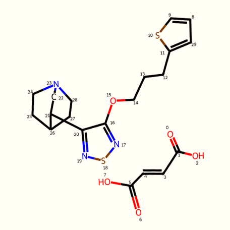 O=C(O)/C=C/C(=O)O.c1csc(CCCOc2nsnc2C2CN3CCC2CC3)c1